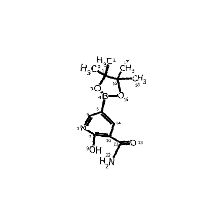 CC1(C)OB(c2cnc(O)c(C(N)=O)c2)OC1(C)C